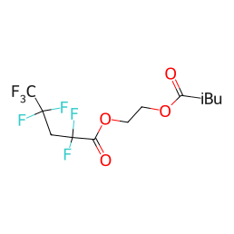 CCC(C)C(=O)OCCOC(=O)C(F)(F)CC(F)(F)C(F)(F)F